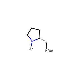 CNC[C@H]1CCCN1C(C)=O